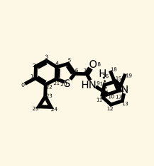 Cc1ccc2cc(C(=O)N[C@@H]3C4CCN(CC4)C3(C)C)sc2c1C1CC1